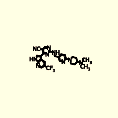 CN(C)C1CCN(c2ccc(CNc3ncc(C#N)c(-c4c[nH]c5ncc(C(F)(F)F)cc45)n3)cn2)CC1